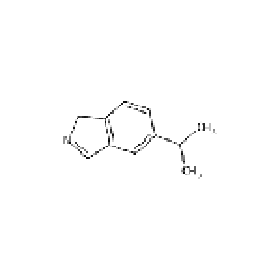 CC(C)c1ccc2c(c1)C=NC2